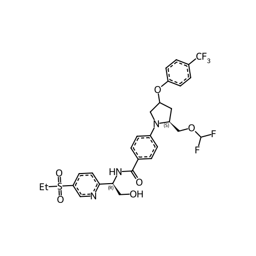 CCS(=O)(=O)c1ccc([C@H](CO)NC(=O)c2ccc(N3CC(Oc4ccc(C(F)(F)F)cc4)C[C@H]3COC(F)F)cc2)nc1